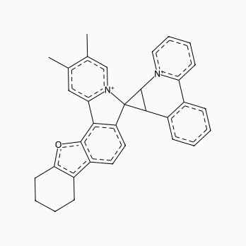 Cc1cc2[n+](cc1C)C1(c3ccc4c5c(oc4c3-2)CCCC5)C2c3ccccc3-c3cccc[n+]3C21